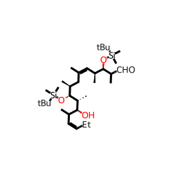 CC/C=C\C(C)[C@H](O)[C@@H](C)[C@H](O[Si](C)(C)C(C)(C)C)[C@@H](C)C/C(C)=C\[C@H](C)[C@@H](O[Si](C)(C)C(C)(C)C)C(C)C=O